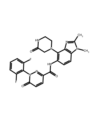 Cc1nc2c(N3CCNC(=O)C3)c(NC(=O)c3ccc(=O)n(-c4c(F)cccc4F)n3)ccc2n1C